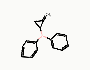 C=C1CC1B(c1ccccc1)c1ccccc1